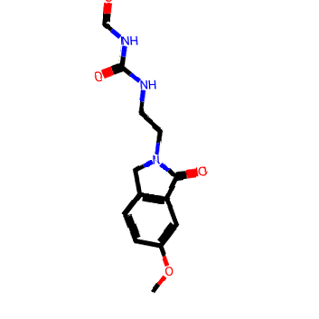 COc1ccc2c(c1)C(=O)N(CCNC(=O)NC=O)C2